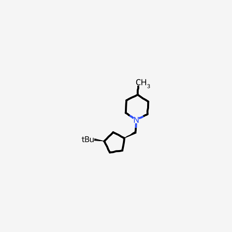 CC1CCN(C[C@H]2CC[C@@H](C(C)(C)C)C2)CC1